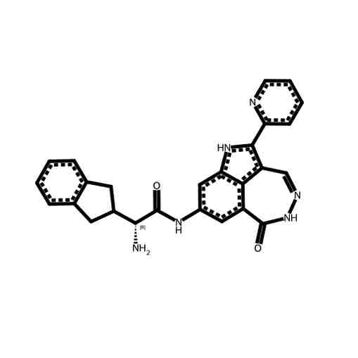 N[C@@H](C(=O)Nc1cc2c3c(c(-c4ccccn4)[nH]c3c1)C=NNC2=O)C1Cc2ccccc2C1